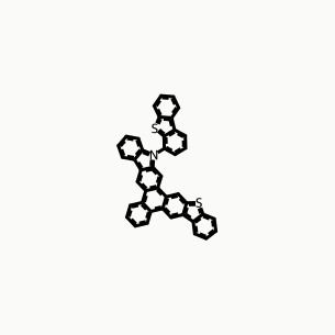 c1ccc2c(c1)sc1cc3c(cc12)c1ccccc1c1cc2c4ccccc4n(-c4cccc5c4sc4ccccc45)c2cc31